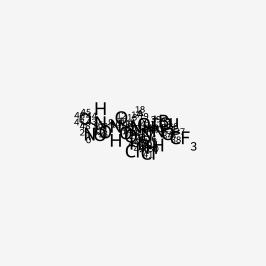 CN(C)C(=O)C(NC(=O)CNC(=O)C(=O)[C@H](CC1CC1)NC(=O)[C@@H]1[C@@H]2[C@H](CN1C(=O)[C@@H](NC(=O)OC(C)(C)C(F)(F)F)C(C)(C)C)C2(Cl)Cl)c1ccccc1